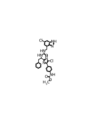 COC(=O)Nc1ccc(-c2nc(C(Cc3ccccc3)NC(=O)NCc3cc(Cl)cc4[nH]cnc34)[nH]c2Cl)cc1